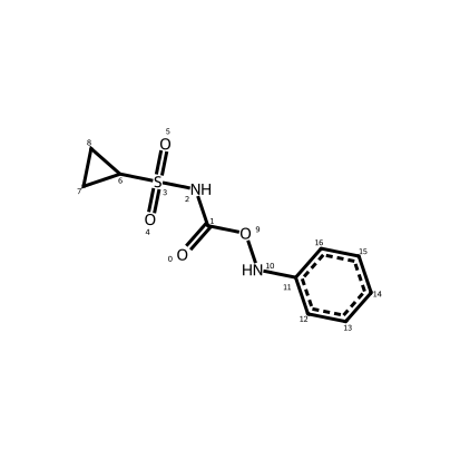 O=C(NS(=O)(=O)C1CC1)ONc1ccccc1